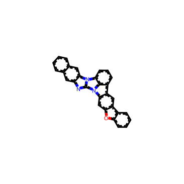 c1ccc2cc3c(cc2c1)nc1n3c2cccc3c4cc5c(cc4n1c32)oc1ccccc15